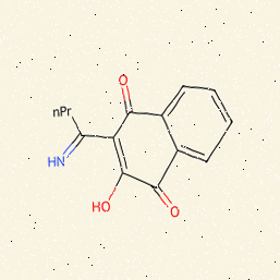 CCCC(=N)C1=C(O)C(=O)c2ccccc2C1=O